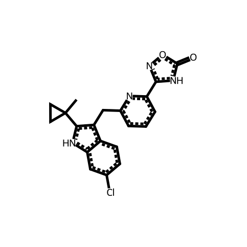 CC1(c2[nH]c3cc(Cl)ccc3c2Cc2cccc(-c3noc(=O)[nH]3)n2)CC1